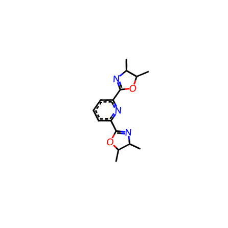 CC1N=C(c2cccc(C3=NC(C)C(C)O3)n2)OC1C